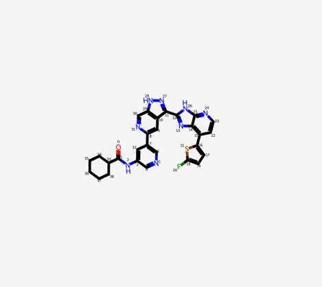 O=C(Nc1cncc(-c2cc3c(-c4nc5c(-c6ccc(F)s6)ccnc5[nH]4)n[nH]c3cn2)c1)C1CCCCC1